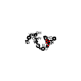 Cc1ncsc1-c1ccc([C@H](C)NC(=O)[C@@H]2C[C@@H](O)CN2C(=O)C(c2cc(N3CCC(CN4CCC(OC5CC(Oc6ccc(N7C8CCC7CC(n7nc(N)c9nnc(-c%10ccccc%10O)cc97)C8)cn6)C5)CC4)CC3)no2)C(C)C)cc1